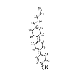 N#Cc1ccc(-c2ccc([C@H]3CC[C@H](CCC=CF)CC3)cc2)cc1